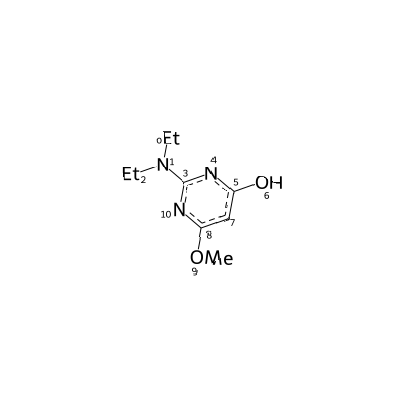 CCN(CC)c1nc(O)cc(OC)n1